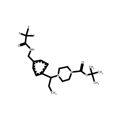 CCC(c1ccc(CNC(=O)C(F)(F)F)cc1)N1CCN(C(=O)OC(C)(C)C)CC1